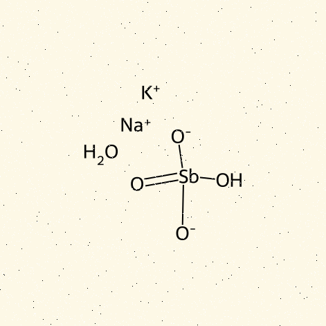 O.[K+].[Na+].[O]=[Sb]([O-])([O-])[OH]